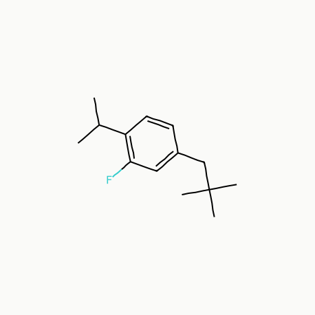 CC(C)c1ccc(CC(C)(C)C)cc1F